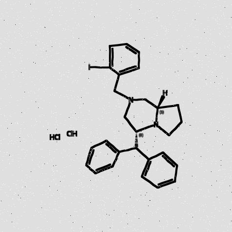 Cl.Cl.Ic1ccccc1CN1C[C@@H]2CCCN2[C@H](C(c2ccccc2)c2ccccc2)C1